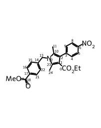 CCOC(=O)c1c(-c2ccc([N+](=O)[O-])cc2)c(C)n(Cc2ccc(C(=O)OC)cc2)c1C